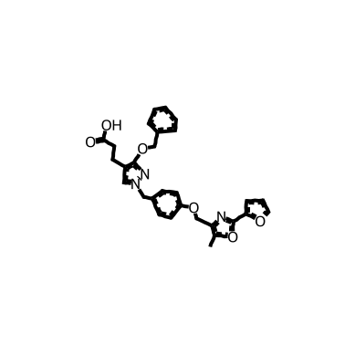 Cc1oc(-c2ccco2)nc1COc1ccc(Cn2cc(CCC(=O)O)c(OCc3ccccc3)n2)cc1